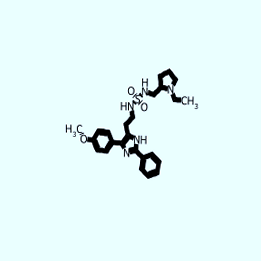 CCN1CCCC1CNS(=O)(=O)NCCc1[nH]c(-c2ccccc2)nc1-c1ccc(OC)cc1